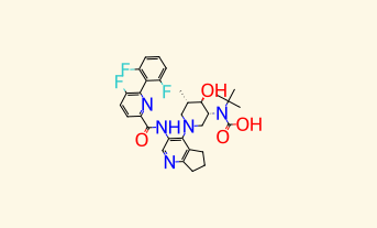 C[C@H]1CN(c2c(NC(=O)c3ccc(F)c(-c4c(F)cccc4F)n3)cnc3c2CCC3)C[C@@H](N(C(=O)O)C(C)(C)C)[C@@H]1O